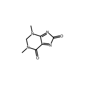 CN1CN(C)C2=NC(=O)N=C2C1=O